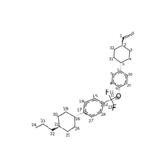 C=C[C@H]1CC[C@H](c2ccc(OC(F)(F)c3ccc([C@H]4CC[C@H](CCC)CC4)cc3)cc2)CC1